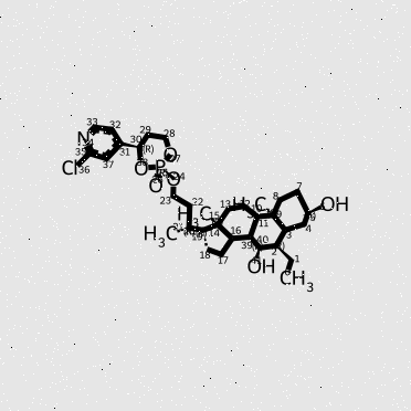 CC[C@@H]1C2C[C@H](O)CC[C@]2(C)C2CC[C@@]3(C)C(CC[C@@H]3[C@H](C)CCO[P@]3(=O)OCC[C@H](c4ccnc(Cl)c4)O3)C2[C@@H]1O